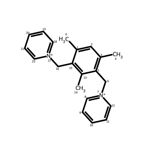 Cc1cc(C)c(C[n+]2ccccc2)c(C)c1C[n+]1ccccc1